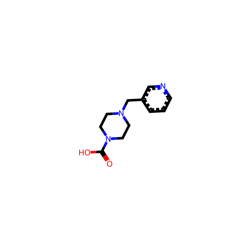 O=C(O)N1CCN(Cc2cccnc2)CC1